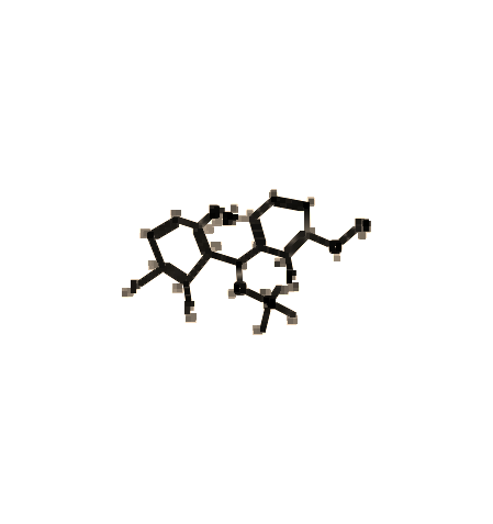 CCOc1ccc(Br)c(C(O[Si](C)(C)C)c2c(Br)ccc(F)c2F)c1F